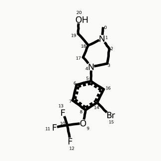 CN1CCN(c2ccc(OC(F)(F)F)c(Br)c2)CC1CO